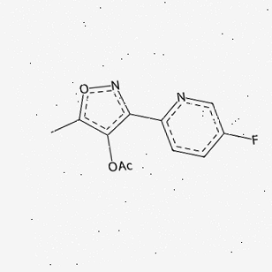 CC(=O)Oc1c(-c2ccc(F)cn2)noc1C